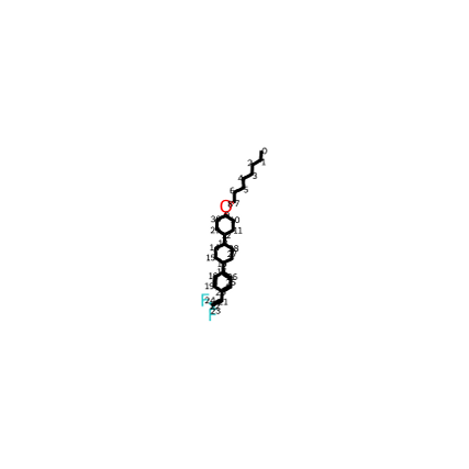 CCCCCCCCOC1CCC(C2CCC(c3ccc(C=C(F)F)cc3)CC2)CC1